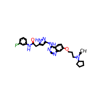 C#CN(CCCOc1ccc2c(Nc3cc(CC(=O)Nc4cccc(F)c4)[nH]n3)ncnc2c1)C1CCCC1